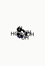 O=C(O)/C=C\C(=O)O.O=C(O)NCCc1ccccn1